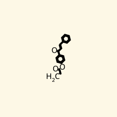 C=CC(=O)Oc1ccc(C(=O)C=Cc2ccccc2)cc1